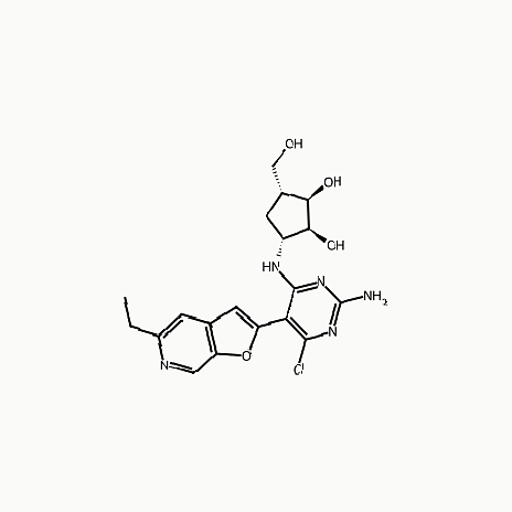 CCc1cc2cc(-c3c(Cl)nc(N)nc3N[C@@H]3C[C@H](CO)[C@@H](O)[C@H]3O)oc2cn1